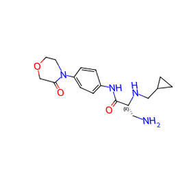 NC[C@@H](NCC1CC1)C(=O)Nc1ccc(N2CCOCC2=O)cc1